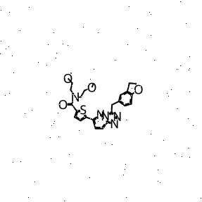 COCCN(CCOC)C(=O)c1ccc(-c2ccc3nnc(Cc4ccc5c(c4)CCO5)n3n2)s1